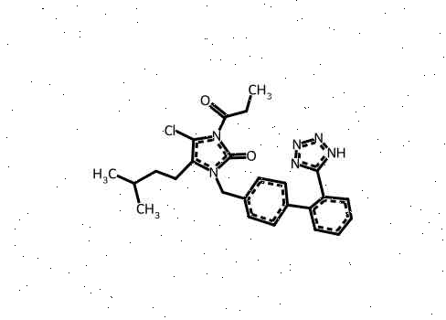 CCC(=O)n1c(Cl)c(CCC(C)C)n(Cc2ccc(-c3ccccc3-c3nnn[nH]3)cc2)c1=O